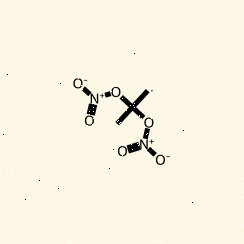 [CH2]C(C)(O[N+](=O)[O-])O[N+](=O)[O-]